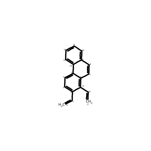 C=Cc1ccc2c(ccc3ccccc32)c1C=C